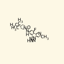 Cc1ccc(-c2c(F)cc(NC(=O)N3CCC(C(C)(C)C)CC3)cc2-c2nn[nH]n2)cn1